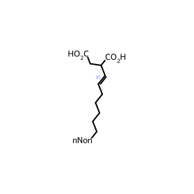 CCCCCCCCCCCCCC/C=C/C(CC(=O)O)C(=O)O